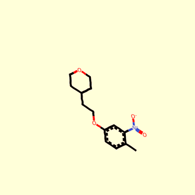 Cc1ccc(OCCC2CCOCC2)cc1[N+](=O)[O-]